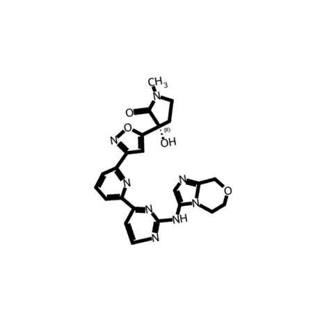 CN1CC[C@@](O)(c2cc(-c3cccc(-c4ccnc(Nc5cnc6n5CCOC6)n4)n3)no2)C1=O